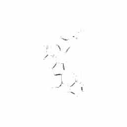 CCc1sc2ncnc(N)c2c1-c1ccc(N(C(N)=O)c2ccc(C(C)(C)C)cc2)cc1